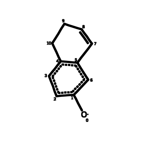 [O]c1ccc2c(c1)C=CCC2